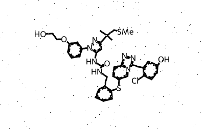 CSCC(C)(C)c1cc(NC(=O)NCc2ccccc2Sc2ccc3nnc(-c4cc(O)ccc4Cl)n3c2)n(-c2cccc(OCCO)c2)n1